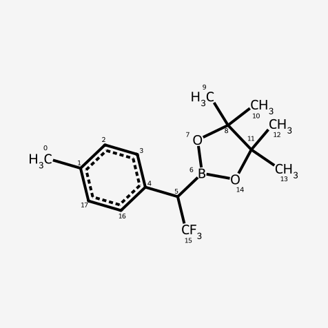 Cc1ccc(C(B2OC(C)(C)C(C)(C)O2)C(F)(F)F)cc1